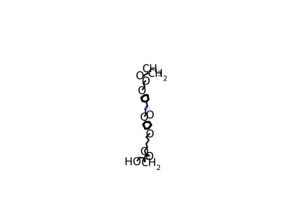 C=C(C)C(=O)OCCOc1ccc(/C=C/C(=O)Oc2ccc(OCCCCOC(=O)C(=C)CO)cc2)cc1